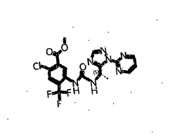 COC(=O)c1cc(NC(=O)N[C@@H](C)c2ncnn2-c2ncccn2)c(C(F)(F)F)cc1Cl